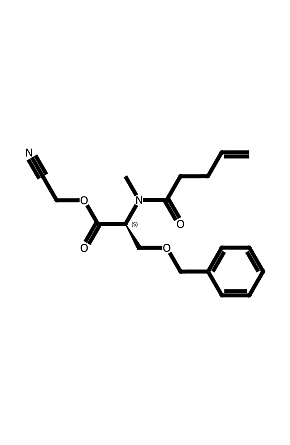 C=CCCC(=O)N(C)[C@@H](COCc1ccccc1)C(=O)OCC#N